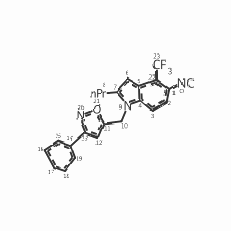 [C-]#[N+]c1ccc2c(cc(CCC)n2Cc2cc(-c3ccccc3)no2)c1C(F)(F)F